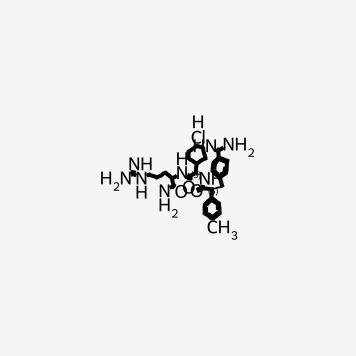 Cc1ccc([C@H](Cc2ccc(C(=N)N)cc2)C(=O)N[C@H](C(=O)NC(CCCNC(=N)N)C(N)=O)C2CCCCC2)cc1.Cl